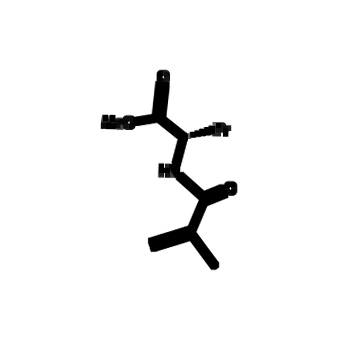 C=C(C)C(=O)N[C@H](C(=O)OC)C(C)C